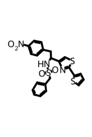 O=[N+]([O-])c1ccc(CC(NS(=O)(=O)Cc2ccccc2)c2csc(-c3cccs3)n2)cc1